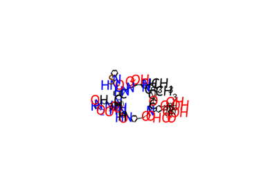 Cc1c2cnn1CC13CC4(C)CC(C)(C1)CC(C4)(C3)OCCN(Cc1ccc(O[C@@H]3O[C@H](C(=O)O)[C@@H](O)[C@H](O)[C@H]3O)cc1)C(=O)OCc1ccc(cc1)NC(=O)[C@H](CCCNC(N)=O)NC(=O)[C@@H](NC(=O)CCCCCN1C(=O)C=CC1=O)C(C)C1CN(Cc3c(C(=O)Nc4nc5ccccc5s4)cccc31)c1ccc-2c(C(=O)O)n1